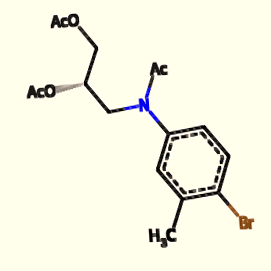 CC(=O)OC[C@H](CN(C(C)=O)c1ccc(Br)c(C)c1)OC(C)=O